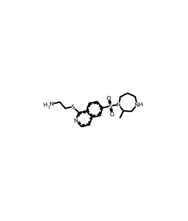 CC1CNCCCN1S(=O)(=O)c1ccc2c(SCCN)nccc2c1